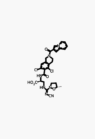 C[C@H]1CCN(/C(=N\C#N)NC[C@H](NC(=O)c2c(Cl)cc3c(c2Cl)CCN(C(=O)c2cc4ccccn4c2)C3)C(=O)O)O1